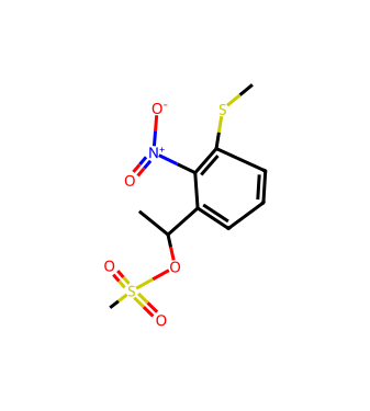 CSc1cccc(C(C)OS(C)(=O)=O)c1[N+](=O)[O-]